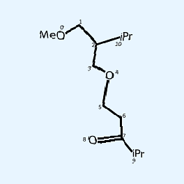 COCC(COCCC(=O)C(C)C)C(C)C